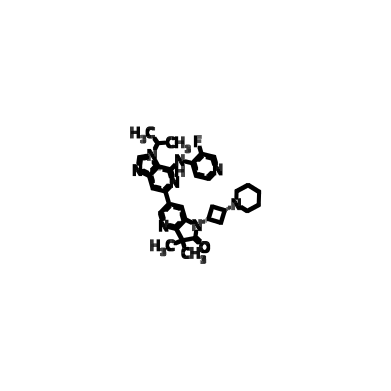 CC(C)n1cnc2cc(-c3cnc4c(c3)N([C@H]3C[C@@H](N5CCCCC5)C3)C(=O)C4(C)C)nc(Nc3ccncc3F)c21